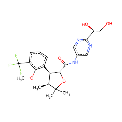 COc1c([C@H]2[C@H](C(=O)Nc3cnc([C@@H](O)CO)nc3)OC(C)(C)[C@H]2C)cccc1C(F)(F)F